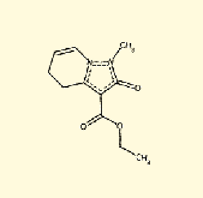 CCOC(=O)c1c2n(n(C)c1=O)C=CCC2